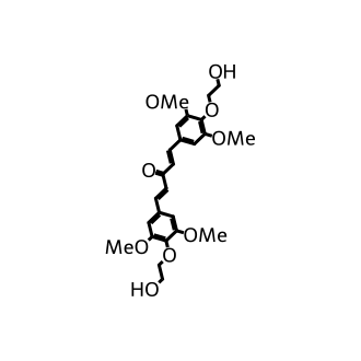 COc1cc(/C=C/C(=O)/C=C/c2cc(OC)c(OCCO)c(OC)c2)cc(OC)c1OCCO